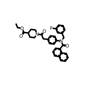 CCOC(=O)C1CCN(C(=O)Cc2ccc(N(Cc3cccc(F)c3)C(=O)c3cccc4ccccc34)cc2)CC1